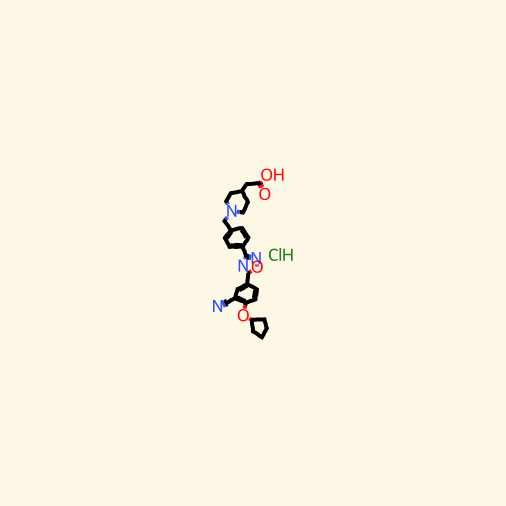 Cl.N#Cc1cc(-c2nc(-c3ccc(CN4CCC(CC(=O)O)CC4)cc3)no2)ccc1OC1CCCC1